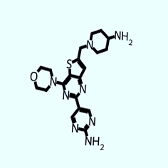 Nc1ncc(-c2nc(N3CCOCC3)c3sc(CN4CCC(N)CC4)cc3n2)cn1